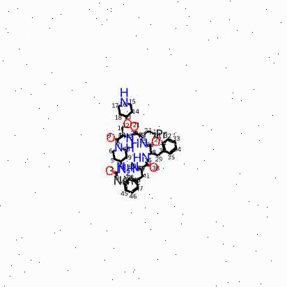 CNC(=O)NC1CCN(C(=O)[C@@H](COC2CCNCC2)NC(=O)[C@@H](CC(C)C)NC(=O)C(Cc2ccccc2)NC(=O)[C@H](N)Cc2ccccc2)CC1